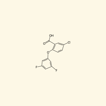 O=C(O)c1cc(Cl)ccc1Oc1cc(F)cc(F)c1